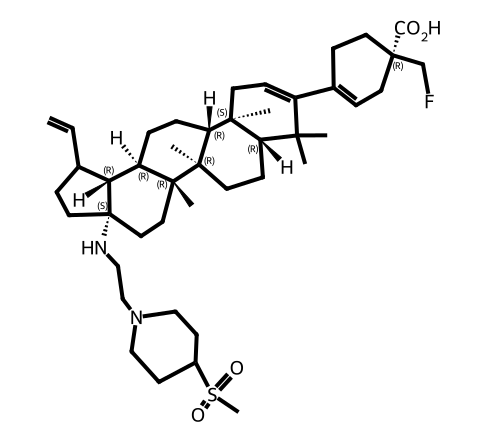 C=CC1CC[C@]2(NCCN3CCC(S(C)(=O)=O)CC3)CC[C@]3(C)[C@H](CC[C@@H]4[C@@]5(C)CC=C(C6=CC[C@@](CF)(C(=O)O)CC6)C(C)(C)[C@@H]5CC[C@]43C)[C@@H]12